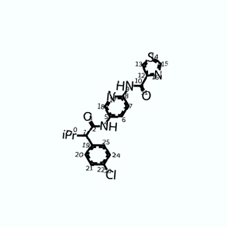 CC(C)C(C(=O)Nc1ccc(NC(=O)c2cscn2)nc1)c1ccc(Cl)cc1